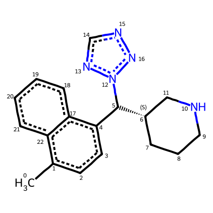 Cc1ccc(C([C@H]2CCCNC2)n2ncnn2)c2ccccc12